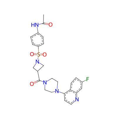 CC(=O)Nc1ccc(S(=O)(=O)N2CC(C(=O)N3CCN(c4ccnc5cc(F)ccc45)CC3)C2)cc1